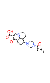 CC(=O)N1CCN(c2ccc3c(=O)c(C(=O)O)cn4c3c2CCC4)CC1